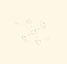 COC(=O)c1cccnc1C=Cc1nc(C=Cc2ncccc2C(=O)OC)c(C=Cc2ncccc2C(=O)OC)nc1C=Cc1ncccc1C(=O)OC